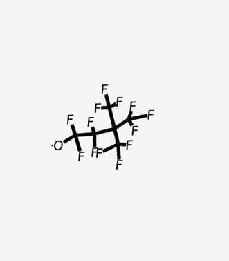 [O]C(F)(F)C(F)(F)C(C(F)(F)F)(C(F)(F)F)C(F)(F)F